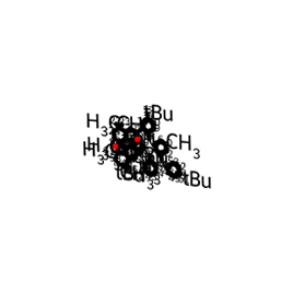 Cc1cc2c3c(c1)N(c1ccc(C(C)(C)C)cc1-c1ccc4c(c1)C(C)(C)CCC4(C)C)c1oc4cc5c(cc4c1B3c1cc(C(C)(C)C)ccc1N2c1ccc(C(C)(C)C)cc1)C(C)(C)CCC5(C)C